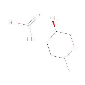 CC1C[C@H](NC(=O)O)[C@@H](O)CO1